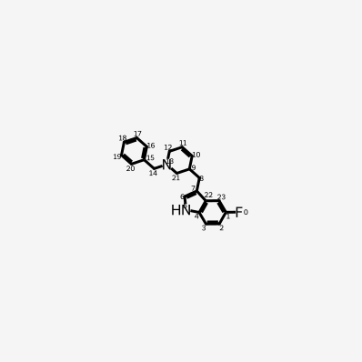 Fc1ccc2[nH]cc(CC3C=CCN(Cc4ccccc4)C3)c2c1